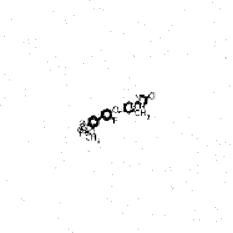 C[C@@H]1C[C@H](COc2ccc(-c3ccc4c(c3)O[C@@](C)(F)S4(=O)=O)cc2F)CCN1c1ncc(Cl)cn1